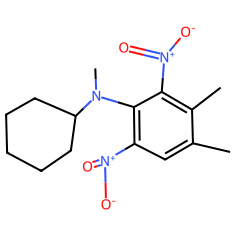 Cc1cc([N+](=O)[O-])c(N(C)C2CCCCC2)c([N+](=O)[O-])c1C